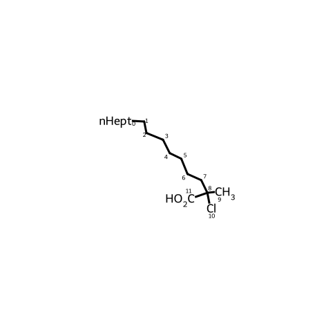 CCCCCCCCCCCCCCC(C)(Cl)C(=O)O